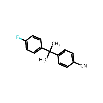 CC(C)(c1ccc(F)cc1)c1ccc(C#N)cc1